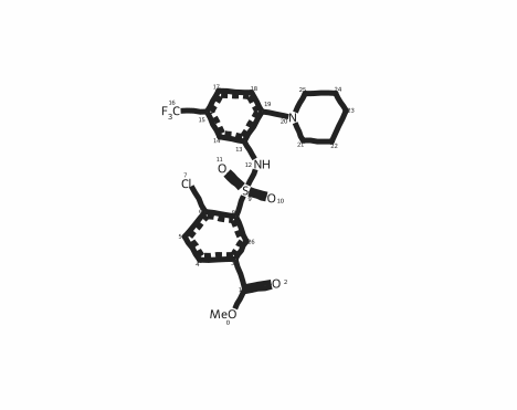 COC(=O)c1ccc(Cl)c(S(=O)(=O)Nc2cc(C(F)(F)F)ccc2N2CCCCC2)c1